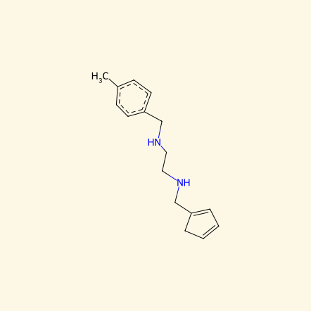 Cc1ccc(CNCCNCC2=CC=CC2)cc1